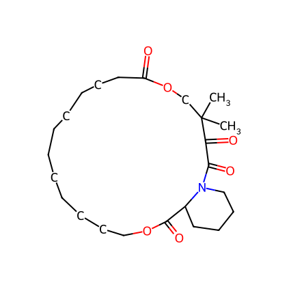 CC1(C)COC(=O)CCCCCCCCCCCOC(=O)C2CCCCN2C(=O)C1=O